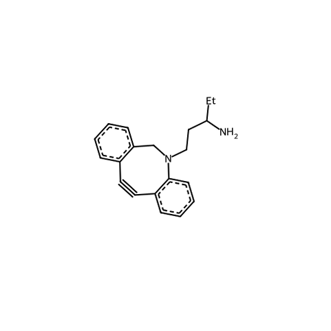 CCC(N)CCN1Cc2ccccc2C#Cc2ccccc21